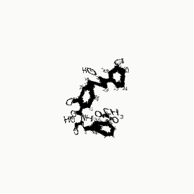 CS(=O)(=O)c1cccc(C[C@H](NC(=O)c2ccc(CCC(O)c3cccc(Cl)c3)cc2Cl)C(=O)O)c1